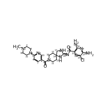 CN1CCN(c2ccc(C(=O)N3CCC4(CC3)CN/C(=N\C(=O)c3nc(Cl)c(N)nc3N)N4)cn2)CC1